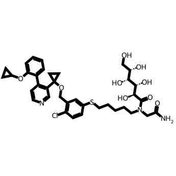 NC(=O)CN(CCCCCSc1ccc(Cl)c(COC2(c3cnccc3-c3ccccc3OC3CC3)CC2)c1)C(=O)[C@@H](O)[C@@H](O)[C@H](O)[C@@H](O)CO